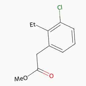 CCc1c(Cl)cccc1CC(=O)OC